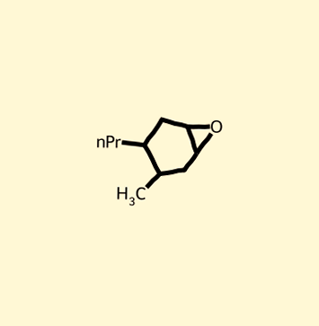 CCCC1CC2OC2CC1C